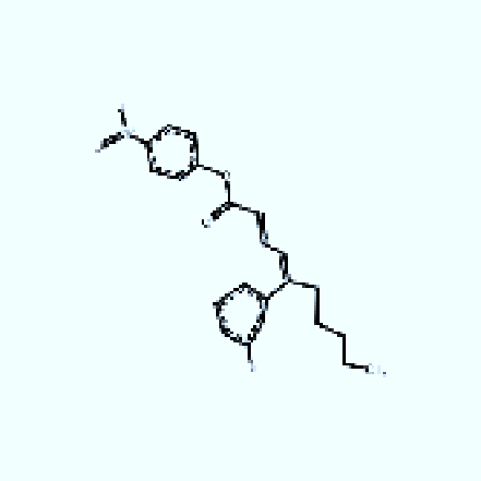 CCCCCC(=CC=CC(=O)Oc1ccc([N+](=O)[O-])cc1)c1cccc(F)c1